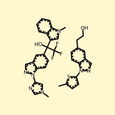 Cc1ccc(-n2ncc3cc(CCO)ccc32)s1.Cn1cnc(-n2ncc3cc(C(O)(c4cn(C)c5ccccc45)C(F)(F)F)ccc32)c1